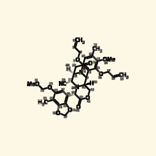 C=CCOC(=O)N1C2c3c(cc(C)c(OC)c3OCC=C)C[C@@H]1[C@@H](C#N)N1[C@@H](c3cc(OCOC)c(C)c4c3OCO4)C(=O)OC[C@@H]21